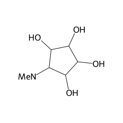 CNC1C(O)C(O)C(O)C1O